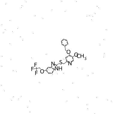 COc1cnc(CSc2nc3cc(OCC(F)(F)F)ccc3[nH]2)cc1OCc1ccccc1